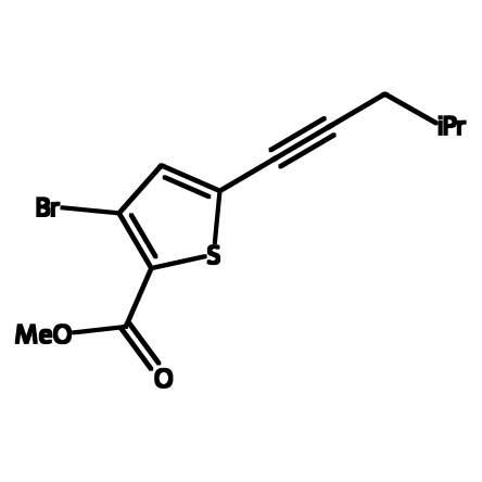 COC(=O)c1sc(C#CCC(C)C)cc1Br